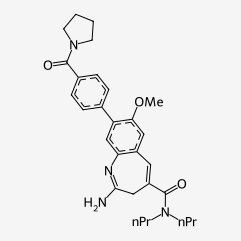 CCCN(CCC)C(=O)C1=Cc2cc(OC)c(-c3ccc(C(=O)N4CCCC4)cc3)cc2N=C(N)C1